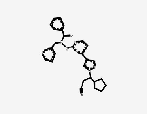 N#CCC(C1CCCC1)n1cc(-c2ccnc(NN(Cc3cccnc3)C(=O)c3ccccc3)n2)cn1